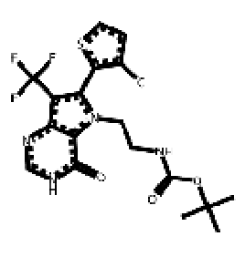 CC(C)(C)OC(=O)NCCn1c(-c2sccc2Cl)c(C(F)(F)F)c2nc[nH]c(=O)c21